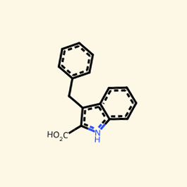 O=C(O)c1[nH]c2ccccc2c1Cc1ccccc1